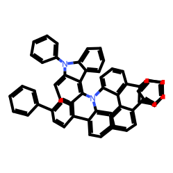 c1ccc(-c2ccc(-c3ccccc3N(c3cccc(-c4ccccc4)c3-c3ccccc3-c3ccccc3)c3cccc4c3c3ccccc3n4-c3ccccc3)cc2)cc1